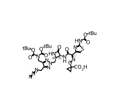 CC(C)(C)OC(=O)Nc1nc(/C(=N/OC2(C(=O)O)CC2)C(=O)N[C@@H]2C(=O)N[C@@H]2Cn2nc(CN=[N+]=[N-])c(CN(C(=O)OC(C)(C)C)C(=O)OC(C)(C)C)n2)cs1